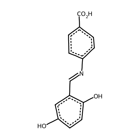 O=C(O)c1ccc(/N=C/c2cc(O)ccc2O)cc1